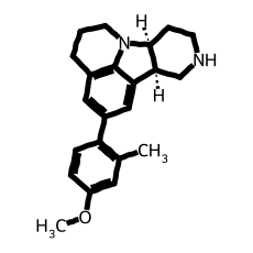 COc1ccc(-c2cc3c4c(c2)[C@@H]2CNCC[C@@H]2N4CCC3)c(C)c1